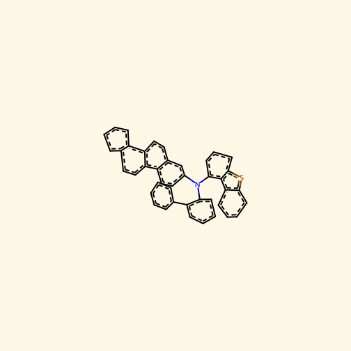 c1ccc(-c2ccccc2N(c2ccc3c(ccc4c5ccccc5ccc34)c2)c2cccc3sc4ccccc4c23)cc1